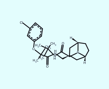 CC(C)(C)NC(=O)CN1[C@@H]2CC[C@H]1C[C@H](CNC(=O)C(C)(C)Oc1cccc(Cl)c1)C2